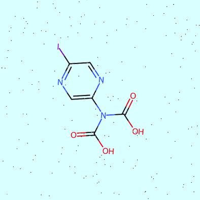 O=C(O)N(C(=O)O)c1cnc(I)cn1